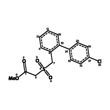 COC(=O)CS(=O)(=O)Cc1ccccc1-c1ccc(Cl)cc1